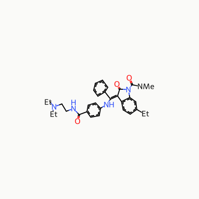 CCc1ccc2c(c1)N(C(=O)NC)C(=O)C2=C(Nc1ccc(C(=O)NCCN(CC)CC)cc1)c1ccccc1